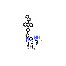 C=C/C=C\C=C/n1c2ccc(-c3ccc(-c4c5ccccc5c(-c5ccc6ccccc6c5)c5ccccc45)cc3)cc2c2cc(/C(N)=C/C=C\C)ncc21